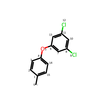 [CH2]c1ccc(Oc2cc(Cl)cc(Cl)c2)cc1